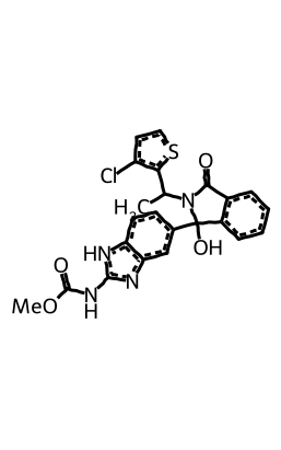 COC(=O)Nc1nc2cc(C3(O)c4ccccc4C(=O)N3C(C)c3sccc3Cl)ccc2[nH]1